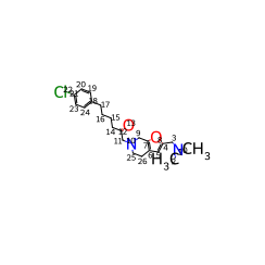 CN(C)Cc1cc2c(o1)CN(CC(=O)CCCCc1ccc(Cl)cc1)CC2